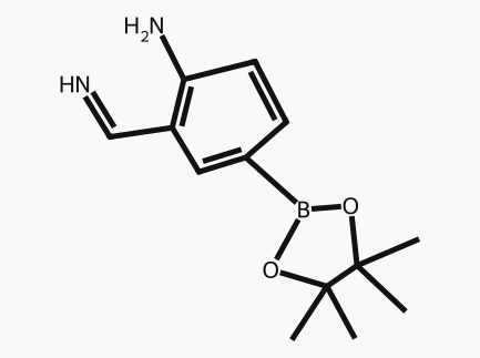 CC1(C)OB(c2ccc(N)c(C=N)c2)OC1(C)C